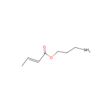 CC=CC(=O)OCCC[SiH3]